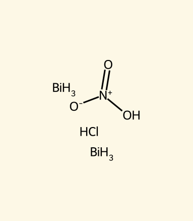 Cl.O=[N+]([O-])O.[BiH3].[BiH3]